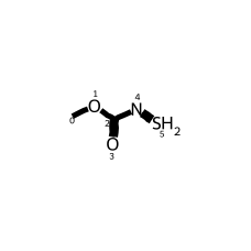 COC(=O)N=[SH2]